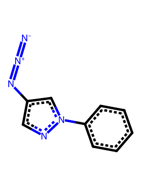 [N-]=[N+]=Nc1cnn(-c2ccccc2)c1